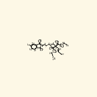 CCCC(CCCCCN1C(=O)c2ccccc2C1=O)(C(=O)OCC)C(=O)OCC